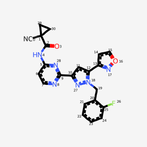 N#CC1(C(=O)Nc2ccnc(-c3cc(-c4ccon4)n(Cc4ccccc4F)n3)n2)CC1